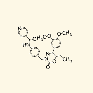 CCC1OC(=O)N(Cc2ccc(NC(=O)c3ccncc3)cc2)N=C1c1ccc(OC)c(OC)c1